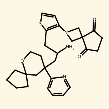 NC(Cc1sccc1N1CC2(C1)C(=O)CCC2=O)CC1(c2ccccn2)CCOC2(CCCC2)C1